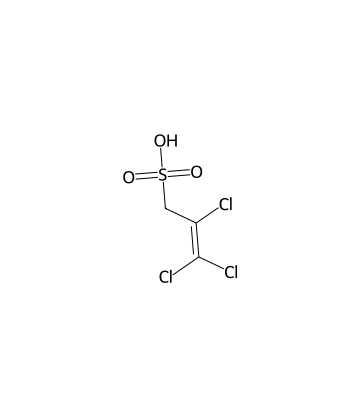 O=S(=O)(O)CC(Cl)=C(Cl)Cl